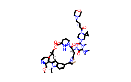 CCn1c(-c2cccnc2[C@H](C)OC)c2c3cc(ccc31)-c1csc(n1)C[C@H](NC(=O)[C@H](N(C)C)N(C)C(=O)N1CCN(C(=O)/C=C/CN3CCOCC3)C3(CC3)C1)C(=O)N1CCC[C@@](O)(N1)C(=O)OCC(C)(C)C2